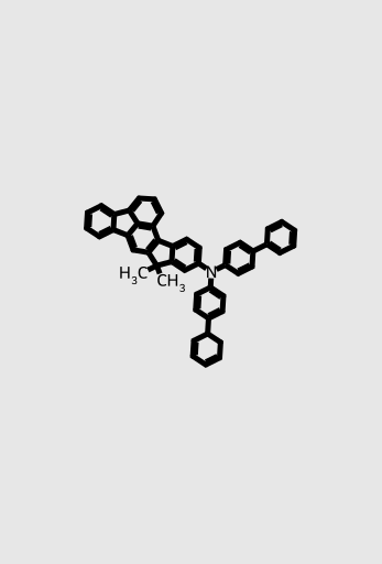 CC1(C)c2cc(N(c3ccc(-c4ccccc4)cc3)c3ccc(C4C=CC=CC4)cc3)ccc2-c2c1cc1c3c(cccc23)-c2ccccc2-1